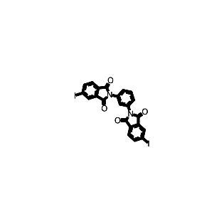 O=C1c2ccc(I)cc2C(=O)N1c1cccc(N2C(=O)c3ccc(I)cc3C2=O)c1